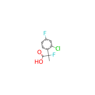 CC(F)(C(=O)O)c1ccc(F)cc1Cl